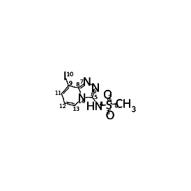 CS(=O)(=O)Nc1nnc2c(I)cccn12